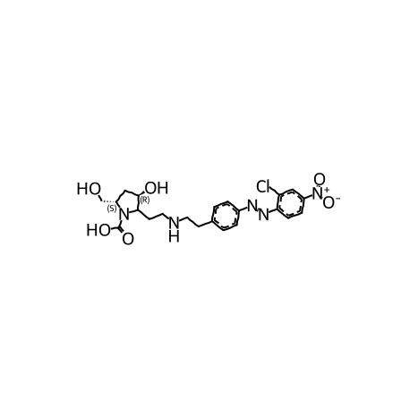 O=C(O)N1C(CCNCCc2ccc(N=Nc3ccc([N+](=O)[O-])cc3Cl)cc2)[C@H](O)C[C@H]1CO